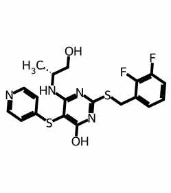 C[C@H](CO)Nc1nc(SCc2cccc(F)c2F)nc(O)c1Sc1ccncc1